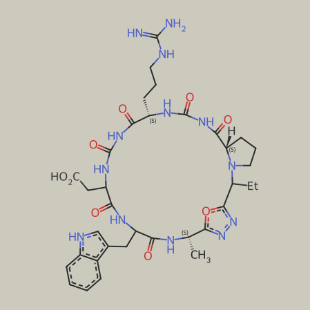 CCC1c2nnc(o2)[C@H](C)NC(=O)C(Cc2c[nH]c3ccccc23)NC(=O)C(CC(=O)O)NC(=O)NC(=O)[C@H](CCCNC(=N)N)NC(=O)NC(=O)[C@@H]2CCCN12